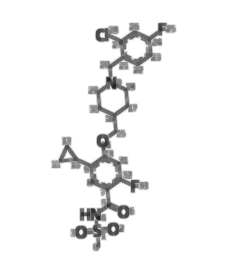 CS(=O)(=O)NC(=O)c1cc(C2CC2)c(OCC2CCN(Cc3ccc(F)cc3Cl)CC2)cc1F